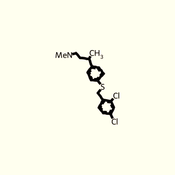 CNCCC(C)c1ccc(SCc2ccc(Cl)cc2Cl)cc1